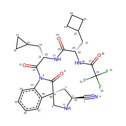 N#C[C@@H]1C[C@@]2(CN1)C(=O)N(C(=O)[C@H](CC1CC1)NC(=O)[C@H](CC1CCC1)NC(=O)C(F)(F)F)c1ccccc12